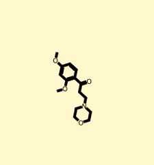 COc1ccc(C(=O)CCN2CCOCC2)c(OC)c1